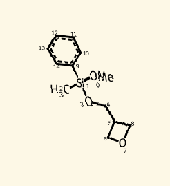 CO[Si](C)(OCC1COC1)c1ccccc1